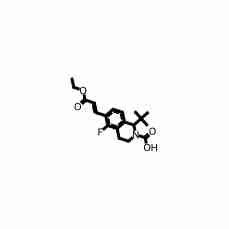 CCOC(=O)C=Cc1ccc2c(c1F)CCN(C(=O)O)C2C(C)(C)C